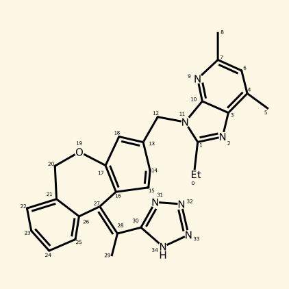 CCc1nc2c(C)cc(C)nc2n1Cc1ccc2c(c1)OCc1ccccc1C2=C(C)c1nnn[nH]1